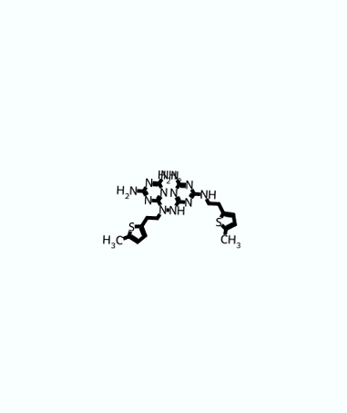 Cc1ccc(CCNc2nc(N)nc(NN(CCc3ccc(C)s3)c3nc(N)nc(N)n3)n2)s1